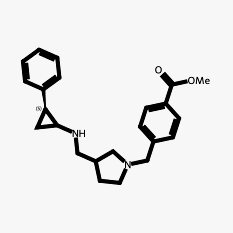 COC(=O)c1ccc(CN2CCC(CNC3C[C@H]3c3ccccc3)C2)cc1